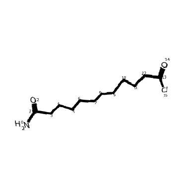 NC(=O)CCCCCCCCCCC(=O)Cl